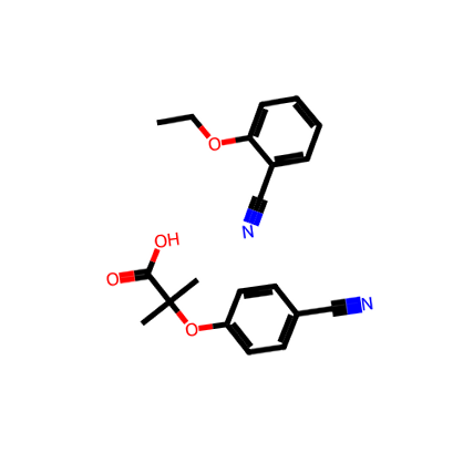 CC(C)(Oc1ccc(C#N)cc1)C(=O)O.CCOc1ccccc1C#N